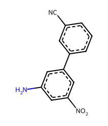 N#Cc1cccc(-c2cc(N)cc([N+](=O)[O-])c2)c1